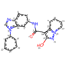 O=C(Nc1ccc2ncn(-c3ccccc3)c2c1)c1c(O)nn2ccccc12